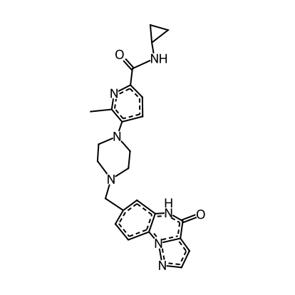 Cc1nc(C(=O)NC2CC2)ccc1N1CCN(Cc2ccc3c(c2)[nH]c(=O)c2ccnn23)CC1